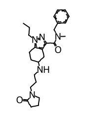 CCCn1nc(C(=O)N(C)Cc2ccccc2)c2c1CCC(NCCCN1CCCC1=O)C2